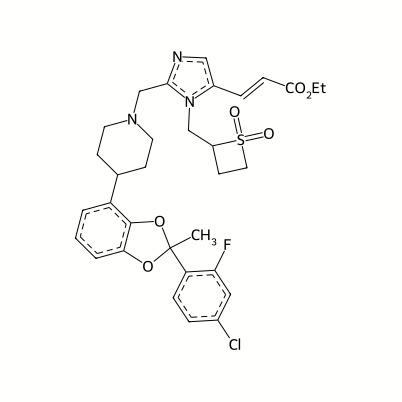 CCOC(=O)/C=C/c1cnc(CN2CCC(c3cccc4c3OC(C)(c3ccc(Cl)cc3F)O4)CC2)n1CC1CCS1(=O)=O